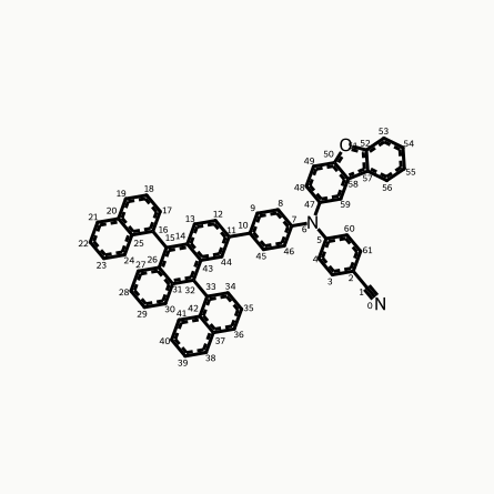 N#Cc1ccc(N(c2ccc(-c3ccc4c(-c5cccc6ccccc56)c5ccccc5c(-c5cccc6ccccc56)c4c3)cc2)c2ccc3oc4ccccc4c3c2)cc1